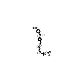 C=CC(=O)OCC(C)(C)COC(=O)CCC(=O)OCCc1ccc(OC(O)C2CCC(C=O)CC2)cc1